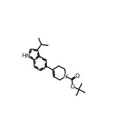 CC(C)c1c[nH]c2ccc(C3=CCN(C(=O)OC(C)(C)C)CC3)cc12